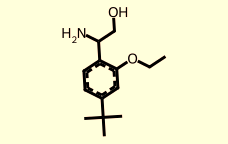 CCOc1cc(C(C)(C)C)ccc1C(N)CO